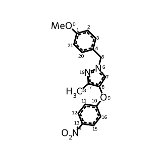 COc1ccc(Cn2cc(Oc3ccc([N+](=O)[O-])cc3)c(C)n2)cc1